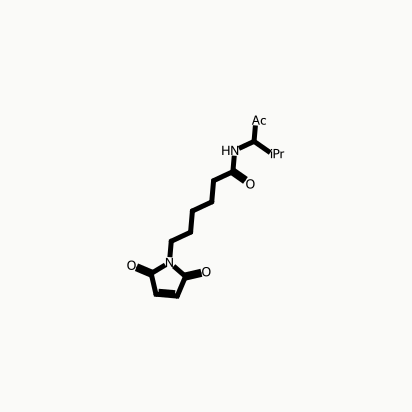 CC(=O)C(NC(=O)CCCCCN1C(=O)C=CC1=O)C(C)C